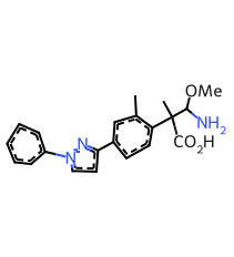 COC(N)C(C)(C(=O)O)c1ccc(-c2ccn(-c3ccccc3)n2)cc1C